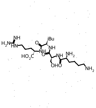 CC[C@H](C)[C@H](NC(=O)[C@H](CO)NC(=O)[C@@H](N)CCCCN)C(=O)N[C@@H](CCCNC(=N)N)C(=O)O